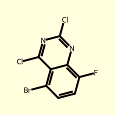 Fc1ccc(Br)c2c(Cl)nc(Cl)nc12